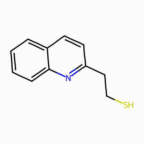 SCCc1ccc2ccccc2n1